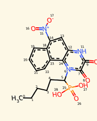 CCCCCC(n1c(=O)c(=O)[nH]c2cc([N+](=O)[O-])c3ccccc3c21)P(=O)(O)O